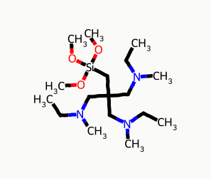 CCN(C)CC(CN(C)CC)(CN(C)CC)C[Si](OC)(OC)OC